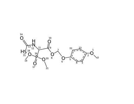 COc1ccc(OCOC(=O)C(NC(=O)S)P(=O)(OC)OC)cc1